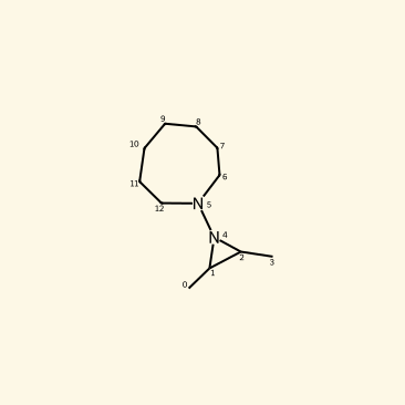 CC1C(C)N1N1CCCCCCC1